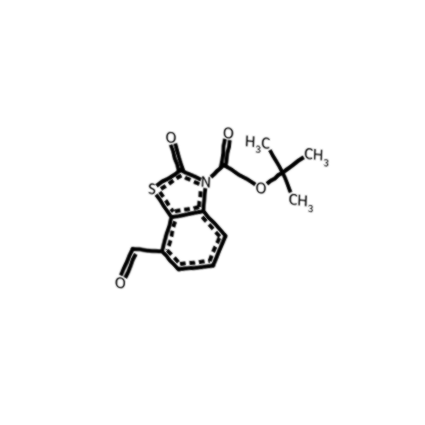 CC(C)(C)OC(=O)n1c(=O)sc2c(C=O)cccc21